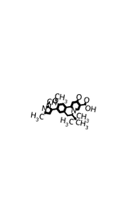 COc1cc2c(cc1-c1cc(C)nn1C)CC(C(C)(C)C)n1cc(C(=O)O)c(=O)cc1-2